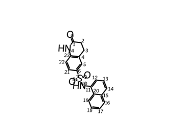 O=C1CCc2cc(S(=O)(=O)Nc3cccc4ccccc34)ccc2N1